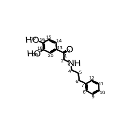 O=C(CNCCCc1ccccc1)c1ccc(O)c(O)c1